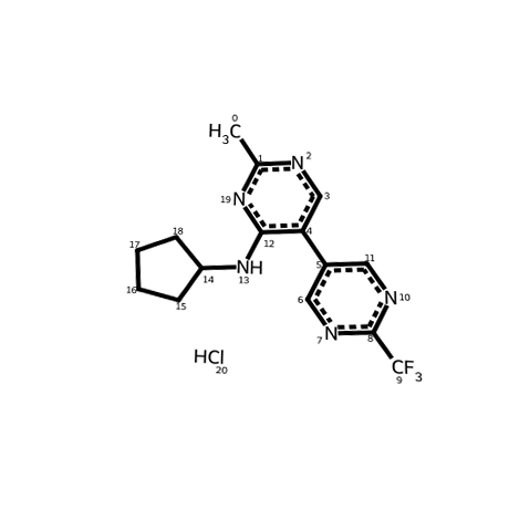 Cc1ncc(-c2cnc(C(F)(F)F)nc2)c(NC2CCCC2)n1.Cl